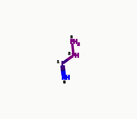 N=IPP